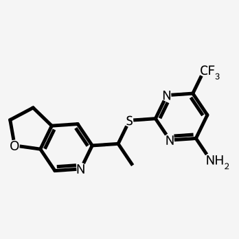 CC(Sc1nc(N)cc(C(F)(F)F)n1)c1cc2c(cn1)OCC2